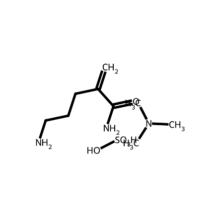 C=C(CCCN)C(N)=O.CN(C)C.O=S(=O)(O)O